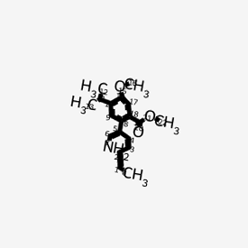 C\C=C/C=C\C(=C/N)c1cc(C(C)C)c(OC)cc1C(=O)OC